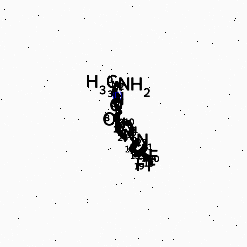 C[C@H](N)/C=N/OCC(=O)N1CCN(c2ccc(C(F)(F)F)cn2)CC1